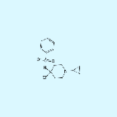 O=S(=O)(NC1(Cl)CCN(C2CC2)CC1)c1ccccc1